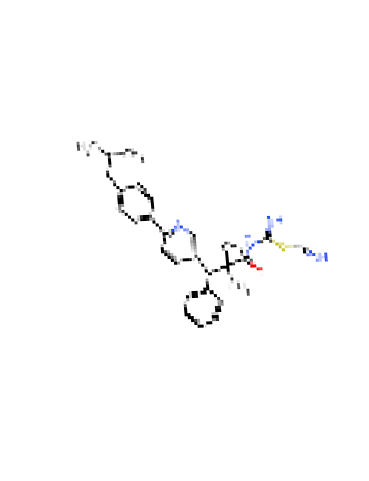 CC(C)Cc1ccc(-c2ccc(C(c3ccccc3)C(C)(C)C(=O)NC(=N)SC=N)cn2)cc1